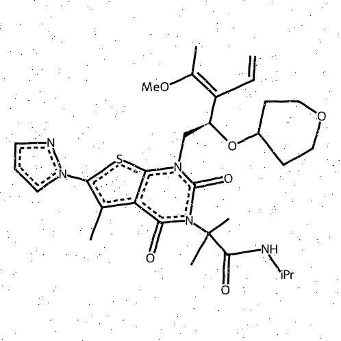 C=C/C(=C(\C)OC)[C@H](Cn1c(=O)n(C(C)(C)C(=O)NC(C)C)c(=O)c2c(C)c(-n3cccn3)sc21)OC1CCOCC1